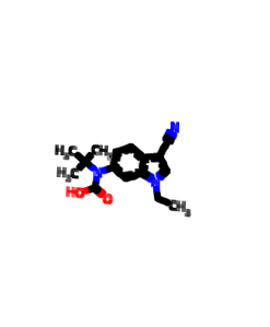 CCn1cc(C#N)c2ccc(N(C(=O)O)C(C)(C)C)cc21